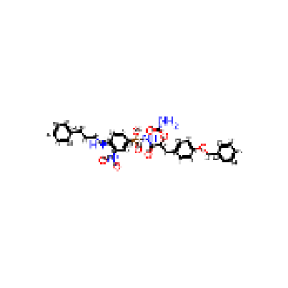 NC(=O)OC(Cc1ccc(OCc2ccccc2)cc1)C(=O)NS(=O)(=O)c1ccc(NCCCc2ccccc2)c([N+](=O)[O-])c1